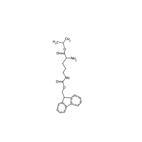 CC(C)OC(=O)C(N)CCCNC(=O)OCC1c2ccccc2-c2ccccc21